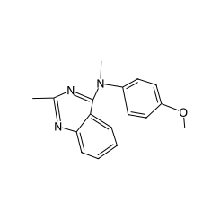 COc1ccc(N(C)c2nc(C)nc3ccccc23)cc1